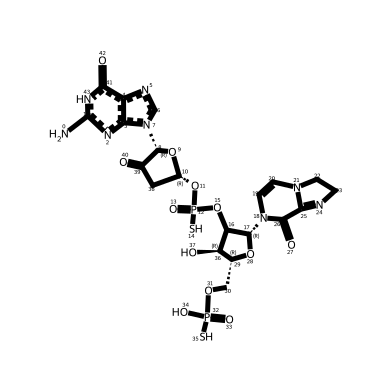 Nc1nc2c(ncn2[C@@H]2O[C@H](OP(=O)(S)OC3[C@H](N4C=CN5CCN=C5C4=O)O[C@H](COP(=O)(O)S)[C@H]3O)CC2=O)c(=O)[nH]1